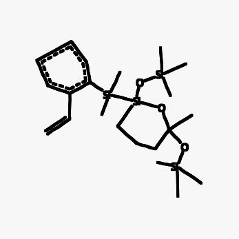 C=Cc1ccccc1[Si](C)(C)[Si]1(O[Si](C)(C)C)CCCC(C)(O[Si](C)(C)C)O1